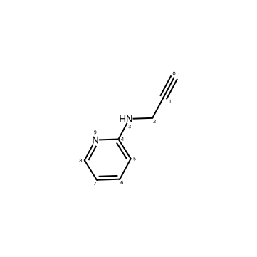 C#CCNc1ccccn1